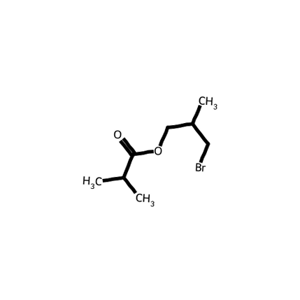 CC(CBr)COC(=O)C(C)C